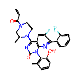 C=CC(=O)N1CCN(c2nc(=O)n(-c3c(C)cccc3O)c3nc(-c4ccccc4F)c(F)cc23)C(C)C1